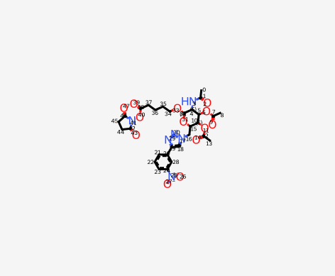 CC(=O)N[C@H]1C(OC(C)=O)[C@@H](OC(C)=O)C(Cn2cc(-c3cccc([N+](=O)[O-])c3)nn2)O[C@H]1OCCCCC(=O)ON1C(=O)CCC1=O